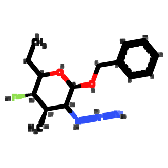 CCC1O[C@@H](OCc2ccccc2)C(N=[N+]=[N-])[C@@H](C)[C@@H]1F